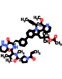 C=CC(=O)N1CC[C@H](C(=O)N(C)C(C(=O)N[C@@H](Cc2cccc(-c3ccc4c(c3)c(CC(C)(C)COC(C)=O)c(-c3cccnc3[C@H](C)OC)n4CC#CC)c2)C(=O)N2CCCCN2)C(C)C)C1